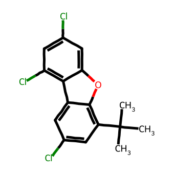 CC(C)(C)c1cc(Cl)cc2c1oc1cc(Cl)cc(Cl)c12